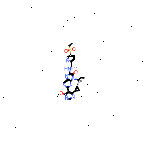 CC[C@@H](C)n1c(=O)c(N[C@@H](C)c2ccc(S(=O)(=O)CC)cn2)nc2cnc(-c3c(OC)ncnc3C3CC3)nc21